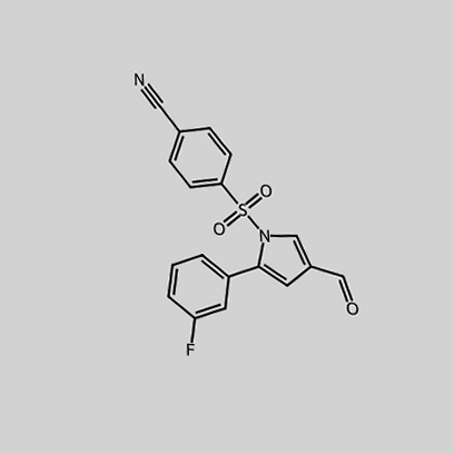 N#Cc1ccc(S(=O)(=O)n2cc(C=O)cc2-c2cccc(F)c2)cc1